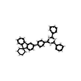 c1ccc(-c2nc(-c3ccccc3)nc(-c3ccc(-c4ccc5c(c4)-c4ccccc4C54CCCCC4)cc3)n2)cc1